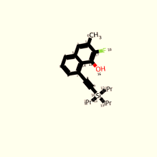 Cc1cc2cccc(C#C[Si](C(C)C)(C(C)C)C(C)C)c2c(O)c1F